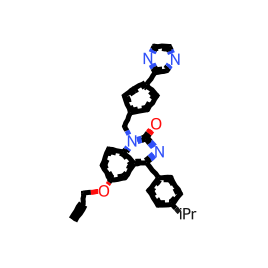 C#CCOc1ccc2c(c1)c(-c1ccc(C(C)C)cc1)nc(=O)n2Cc1ccc(-c2cnccn2)cc1